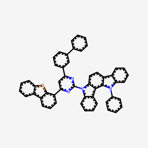 c1ccc(-c2cccc(-c3cc(-c4cccc5c4sc4ccccc45)nc(-n4c5ccccc5c5c4ccc4c6ccccc6n(-c6ccccc6)c45)n3)c2)cc1